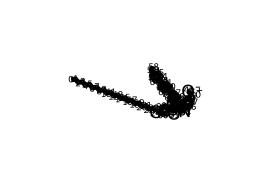 CCCCCCCCCCCCCCCCCCCCCCCCOc1ccc(S(=O)(=O)c2cnc3ccc([S+](C)[O-])cc3c2N2CCC(N3CCN(C4CCN(CC)CC4)CC3)CC2)cc1